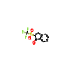 O=C1c2ccccc2CC1S(=O)(=O)C(F)(F)F